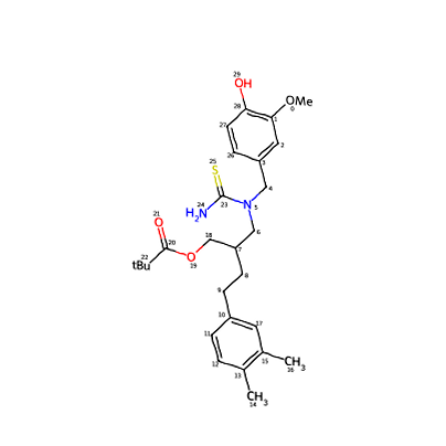 COc1cc(CN(CC(CCc2ccc(C)c(C)c2)COC(=O)C(C)(C)C)C(N)=S)ccc1O